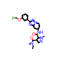 CCN(C)C(=O)c1cnn(C)c1C(=O)Nc1ccn2nc(-c3cccc(OCF)c3)nc2c1